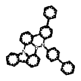 c1ccc(-c2ccc(N3B4c5c(cccc5-n5c6ccccc6c6cccc4c65)-c4cc(-c5ccccc5)ccc43)cc2)cc1